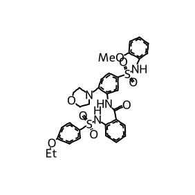 CCOc1ccc(S(=O)(=O)Nc2ccccc2C(=O)Nc2cc(S(=O)(=O)Nc3ccccc3OC)ccc2N2CCOCC2)cc1